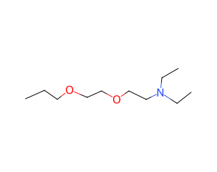 CCCOCCOCCN(CC)CC